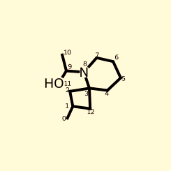 CC1CC2(CCCCN2C(C)O)C1